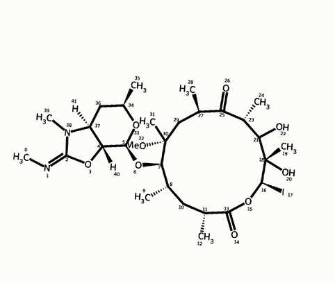 C/N=C1/O[C@H]2[C@H](O[C@@H]3[C@@H](C)C[C@@H](C)C(=O)O[C@H](I)[C@@](C)(O)C(O)[C@@H](C)C(=O)[C@H](C)C[C@@]3(C)OC)O[C@H](C)C[C@@H]2N1C